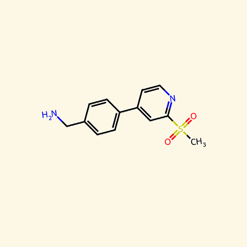 CS(=O)(=O)c1cc(-c2ccc(CN)cc2)ccn1